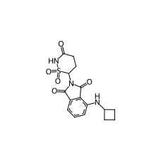 O=C1CCC(N2C(=O)c3cccc(NC4CCC4)c3C2=O)S(=O)(=O)N1